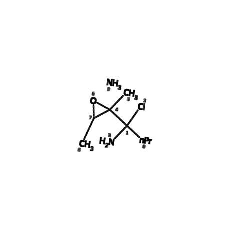 CCCC(N)(Cl)C1(C)OC1C.N